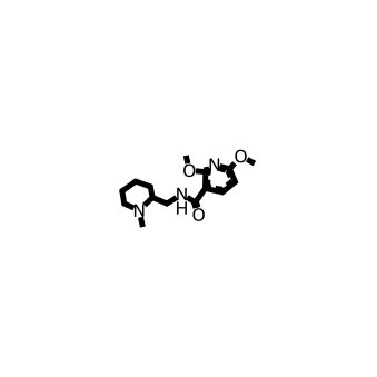 COc1ccc(C(=O)NCC2CCCCN2C)c(OC)n1